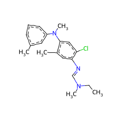 CCN(C)C=Nc1cc(C)c(N(C)c2cccc(C)c2)cc1Cl